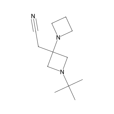 CC(C)(C)N1CC(CC#N)(N2CCC2)C1